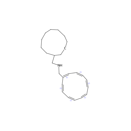 C1=C\C=C/C=C\C(CNCC2CCCCCCCCCC2)=C/C=C\C=C/1